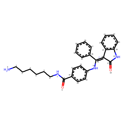 NCCCCCCNC(=O)c1ccc(N/C(=C2\C(=O)Nc3ccccc32)c2ccccc2)cc1